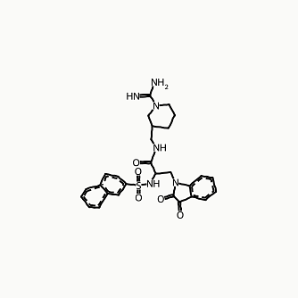 N=C(N)N1CCCC(CNC(=O)C(CN2C(=O)C(=O)c3ccccc32)NS(=O)(=O)c2ccc3ccccc3c2)C1